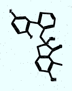 Cc1c(O)ccc2c1C(=O)[N+](Cc1ccccc1-c1cc(F)ccc1F)(C(C)(C)C)C2